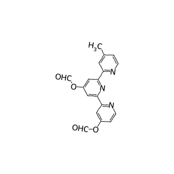 Cc1ccnc(-c2cc(OC=O)cc(-c3cc(OC=O)ccn3)n2)c1